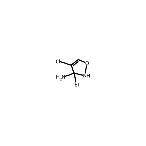 CCC1(N)NOC=C1Cl